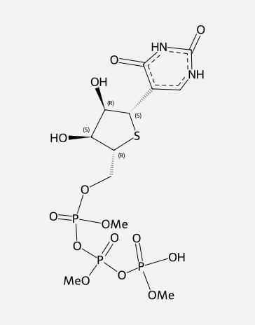 COP(=O)(O)OP(=O)(OC)OP(=O)(OC)OC[C@H]1S[C@@H](c2c[nH]c(=O)[nH]c2=O)[C@H](O)[C@@H]1O